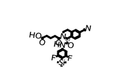 C[Si](C)(C)c1c(F)cc(NC(=O)[C@H]2c3ccc(C#N)cc3CCN2C(=O)CCCC(=O)O)cc1F